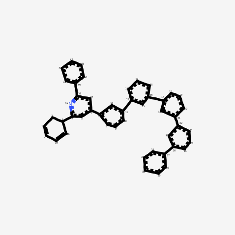 C1=CCC(c2cc(-c3cccc(-c4cccc(-c5cccc(-c6cccc(-c7ccccc7)c6)c5)c4)c3)cc(-c3ccccc3)n2)C=C1